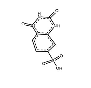 O=c1[nH]c(=O)c2ccc(S(=O)(=O)O)cc2[nH]1